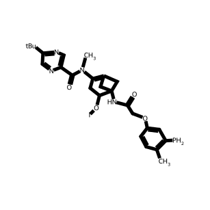 Cc1ccc(OCC(=O)NC23CC(=C(N(C)C(=O)c4cnc(C(C)(C)C)cn4)CC2OI)C3)cc1P